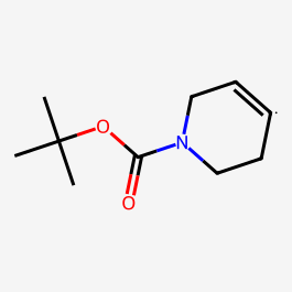 CC(C)(C)OC(=O)N1CC=[C]CC1